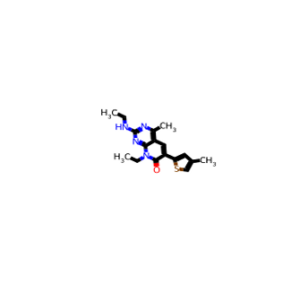 CCNc1nc(C)c2cc(-c3cc(C)cs3)c(=O)n(CC)c2n1